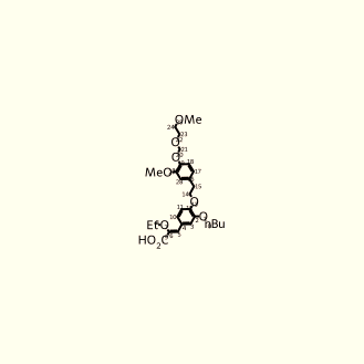 CCCCOc1cc(/C=C(\OCC)C(=O)O)ccc1OCCc1ccc(OCOCCOC)c(OC)c1